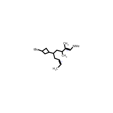 C/C=C\CC(CC(C)/C(C)=C/NC)C1CC(C(C)(C)C)C1